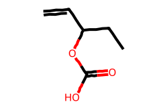 C=CC(CC)OC(=O)O